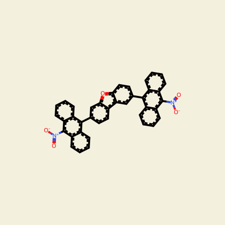 O=[N+]([O-])c1c2ccccc2c(-c2ccc3c(c2)oc2ccc(-c4c5ccccc5c([N+](=O)[O-])c5ccccc45)cc23)c2ccccc12